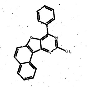 Cc1nc(-c2ccccc2)c2sc3ccc4ccccc4c3c2n1